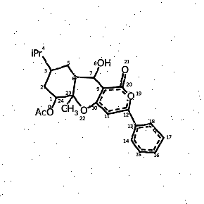 CC(=O)OC1CC(C(C)C)CC2C(O)c3c(cc(-c4ccccc4)oc3=O)OC12C